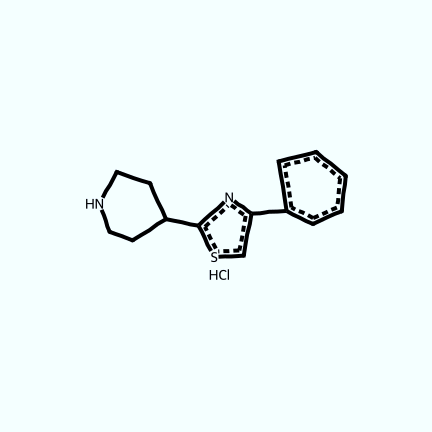 Cl.c1ccc(-c2csc(C3CCNCC3)n2)cc1